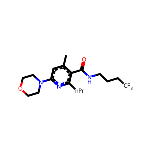 CCCc1nc(N2CCOCC2)cc(C)c1C(=O)NCCCC(F)(F)F